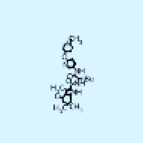 CCCCC(NC(=O)c1[nH]c2c(c1C)C(=O)CC(C)(C)C2)C(=O)Nc1ccc(OC2CCN(C)CC2)nc1